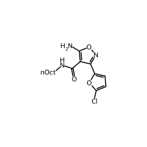 CCCCCCCCNC(=O)c1c(-c2ccc(Cl)o2)noc1N